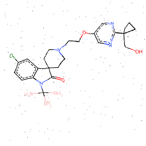 BC(B)(B)N1C(=O)C2(CCN(CCOc3cnc(C4(CO)CC4)nc3)CC2)c2cc(Cl)ccc21